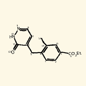 CCOC(=O)c1ccc(Cc2ccn[nH]c2=O)c(C)c1